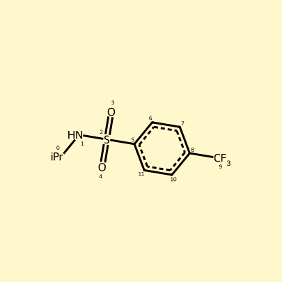 CC(C)NS(=O)(=O)c1ccc(C(F)(F)F)cc1